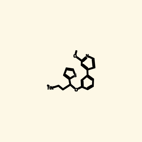 CNCCC(Oc1cccc(-c2ccnc(OC)c2)c1)c1cccs1